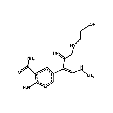 CN/C=C(\C(=N)CNCCO)c1cnc(N)c(C(N)=O)c1